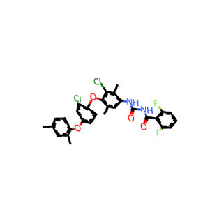 Cc1ccc(Oc2ccc(Oc3c(C)cc(NC(=O)NC(=O)c4c(F)cccc4F)c(C)c3Cl)c(Cl)c2)c(C)c1